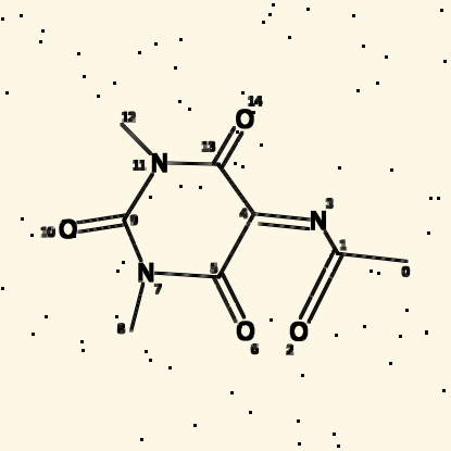 CC(=O)N=C1C(=O)N(C)C(=O)N(C)C1=O